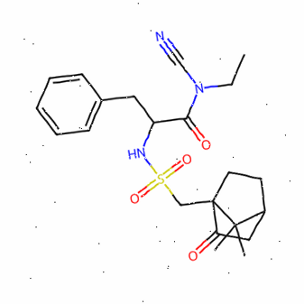 CCN(C#N)C(=O)C(Cc1ccccc1)NS(=O)(=O)CC12CCC(CC1=O)C2(C)C